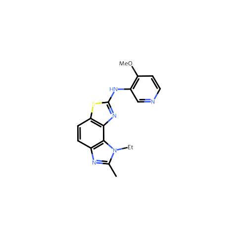 CCn1c(C)nc2ccc3sc(Nc4cnccc4OC)nc3c21